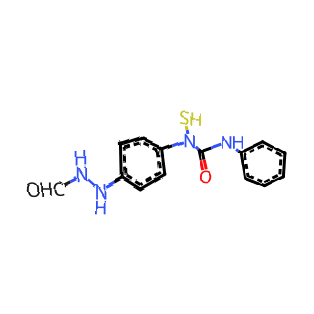 O=CNNc1ccc(N(S)C(=O)Nc2ccccc2)cc1